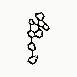 c1ccc(-c2ccc(-c3ccc4c5c(cccc35)C3(c5ccccc5-c5ccccc53)c3ccccc3-4)cc2)nc1